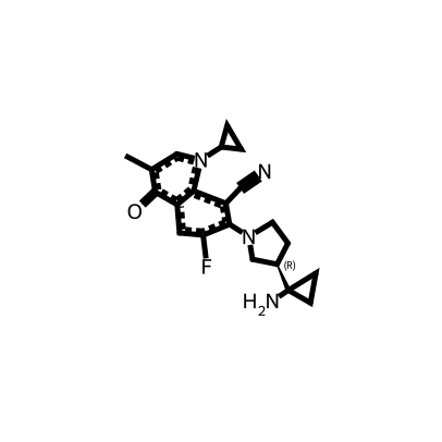 Cc1cn(C2CC2)c2c(C#N)c(N3CC[C@@H](C4(N)CC4)C3)c(F)cc2c1=O